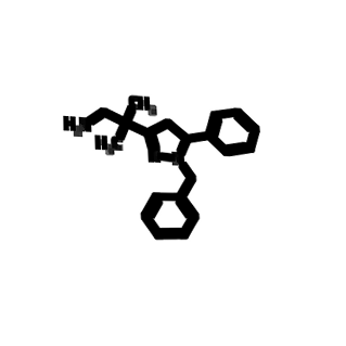 CC(C)(CN)C1=NN(Cc2ccccc2)C(c2ccccc2)C1